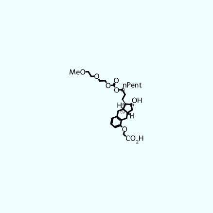 CCCCC[C@@H](CC[C@@H]1[C@H]2Cc3cccc(OCC(=O)O)c3C[C@H]2C[C@H]1O)OC(=O)OCCOCCOC